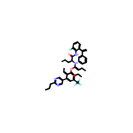 C=C(c1ccccc1)c1cccc(F)c1NC(=O)C(CCC)N/C(=C\CC)OC(=C\CC)/C(=C\C)C(=C\C(=C/C)C(F)(F)F)/c1cnc(CCC)nc1